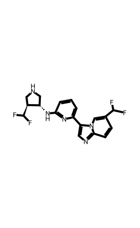 FC(F)c1ccc2ncc(-c3cccc(N[C@H]4CNC[C@@H]4C(F)F)n3)n2c1